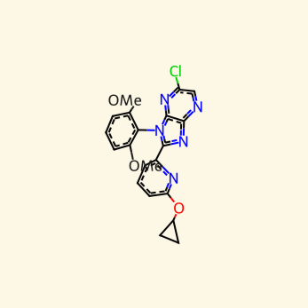 COc1cccc(OC)c1-n1c(-c2cccc(OC3CC3)n2)nc2ncc(Cl)nc21